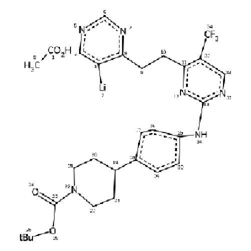 CC(=O)O.[Li][c]1cncnc1CCc1nc(Nc2ccc(C3CCN(C(=O)OC(C)(C)C)CC3)cc2)ncc1C(F)(F)F